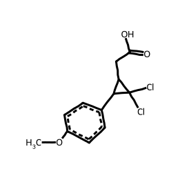 COc1ccc(C2C(CC(=O)O)C2(Cl)Cl)cc1